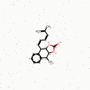 C=C(C)/C=C\C=C/C1c2ccccc2C(C)C2OC(=O)OC12